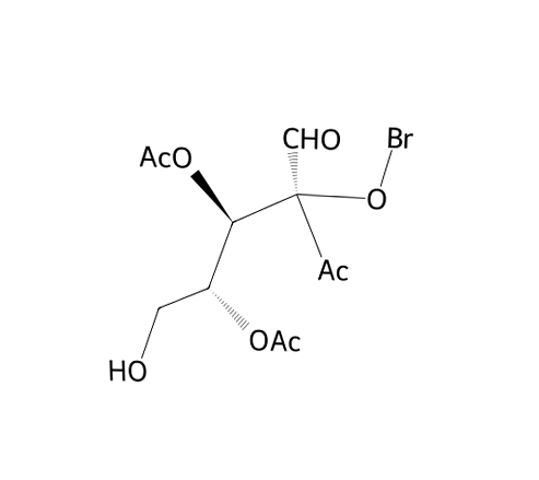 CC(=O)O[C@H]([C@@H](CO)OC(C)=O)[C@@](C=O)(OBr)C(C)=O